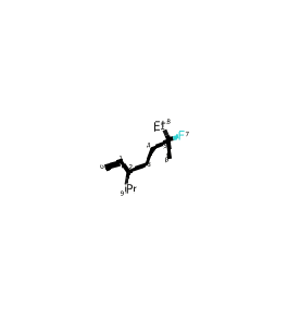 C=CC(CCC(C)(F)CC)C(C)C